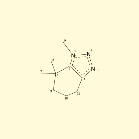 Cn1nnc2c1C(C)(C)CCC2